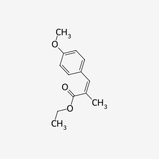 CCOC(=O)C(C)=Cc1ccc(OC)cc1